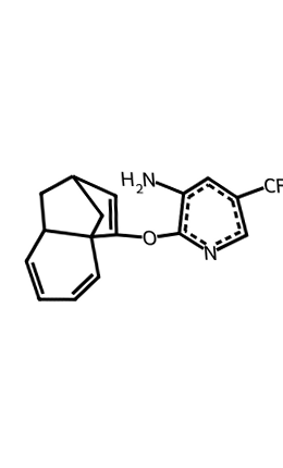 Nc1cc(C(F)(F)F)cnc1OC1=CC2CC3C=CC=CC13C2